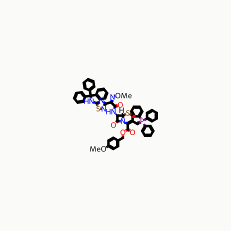 CO/N=C(\C(=O)N[C@@H]1C(=O)N2C(C(=O)OCc3ccc(OC)cc3)=C(C=P(c3ccccc3)(c3ccccc3)c3ccccc3)CS[C@@H]12)c1nsc(NC(c2ccccc2)(c2ccccc2)c2ccccc2)n1